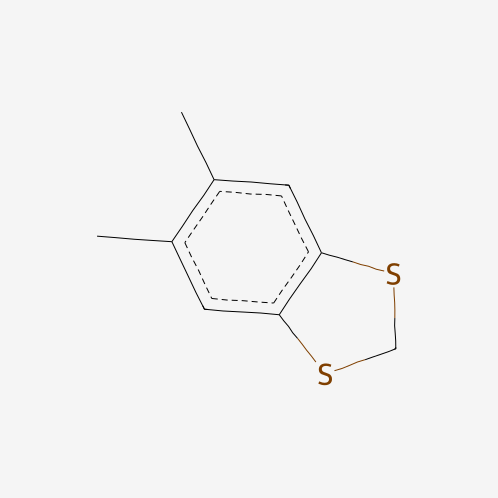 Cc1cc2c(cc1C)SCS2